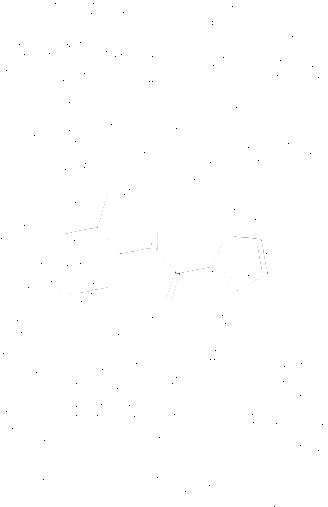 CC(C)[C@@H](CO)NC(=O)c1cccs1